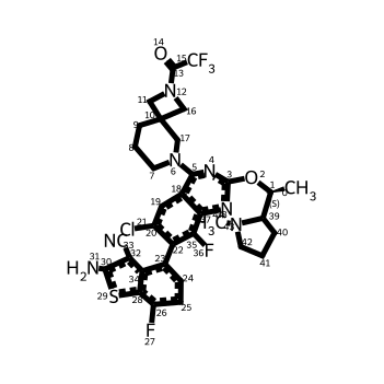 C[C@H](Oc1nc(N2CCCC3(CN(C(=O)C(F)(F)F)C3)C2)c2cc(Cl)c(-c3ccc(F)c4sc(N)c(C#N)c34)c(F)c2n1)C1CCCN1C